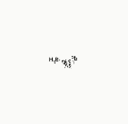 [As].[BiH3].[Pb].[Sb].[Sn]